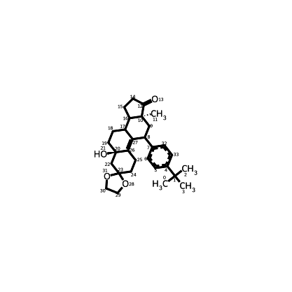 CC(C)(C)c1ccc(C2C[C@]3(C)C(=O)CCC3C3CC[C@@]4(O)CC5(CCC4=C23)OCCO5)cc1